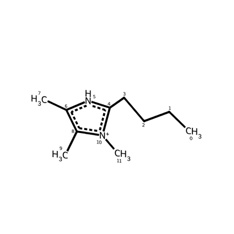 CCCCc1[nH]c(C)c(C)[n+]1C